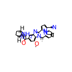 COc1cc(C(=O)N2C[C@H]3CC[C@@H]2[C@@H]3N)cc2nc(-c3ccc(C#N)n3CC3CC3)n([C@@H](C)c3ccccn3)c12